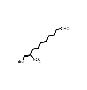 CCCC/C=C(/CCCCCCC[C]=O)[N+](=O)[O-]